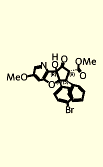 COC(=O)[C@H]1C(=O)[C@@]2(O)c3ncc(OC)cc3O[C@@]2(c2ccc(Br)cc2)[C@@H]1c1ccccc1